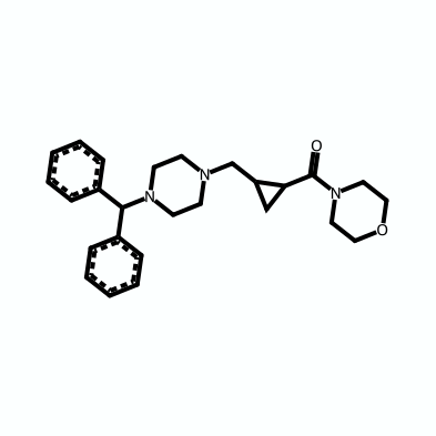 O=C(C1CC1CN1CCN(C(c2ccccc2)c2ccccc2)CC1)N1CCOCC1